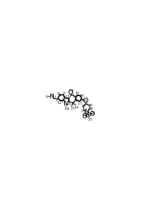 CN=Cc1ccc2c3c(n(C)c2c1)C(C)(C)c1cc(OC2CCN(S(C)(=O)=O)CC2)ccc1C3=O